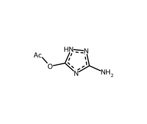 CC(=O)Oc1nc(N)n[nH]1